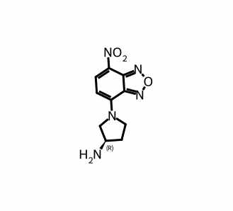 N[C@@H]1CCN(c2ccc([N+](=O)[O-])c3nonc23)C1